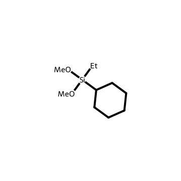 CC[Si](OC)(OC)C1CCCCC1